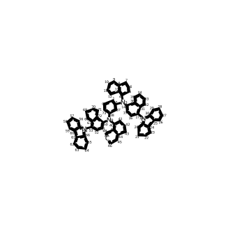 c1cc(N(c2cccc3ccccc23)c2ccc(-n3c4ccccc4c4ccccc43)c3ccccc23)cc(N(c2cccc3ccccc23)c2ccc(-n3c4ccccc4c4ccccc43)c3ccccc23)c1